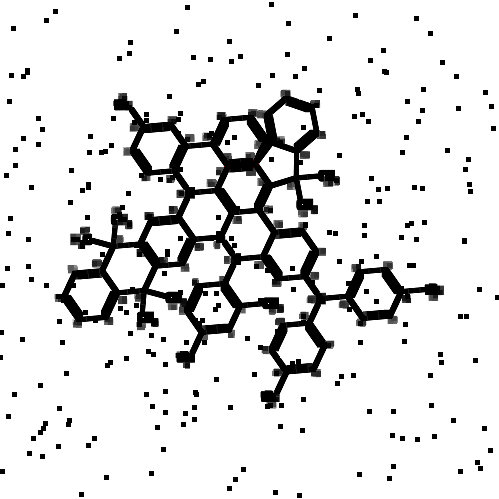 Cc1cc(C(C)(C)C)ccc1N1B2c3cc4c(cc3N(c3ccc(C(C)(C)C)cc3-c3ccccc3)c3cc5c(c(c32)-c2ccc(N(c3ccc(C(C)(C)C)cc3)c3ccc(C(C)(C)C)cc3)cc21)C(C)(C)c1ccccc1-5)C(C)(C)c1ccccc1C4(C)C